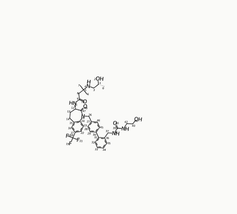 C[C@@H](O)CNC(C)(C)CC(=O)N[C@@H]1CCc2cc(C(F)(F)F)ccc2N(Cc2ccc(-c3ccccc3CNC(=O)NCCO)cc2)C1=O